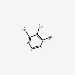 CC(C)c1c[c]cc(C(C)C)c1C(C)C